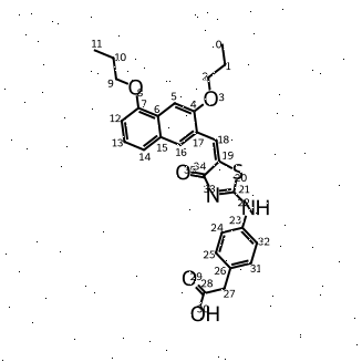 CCCOc1cc2c(OCCC)cccc2cc1C=C1SC(Nc2ccc(CC(=O)O)cc2)=NC1=O